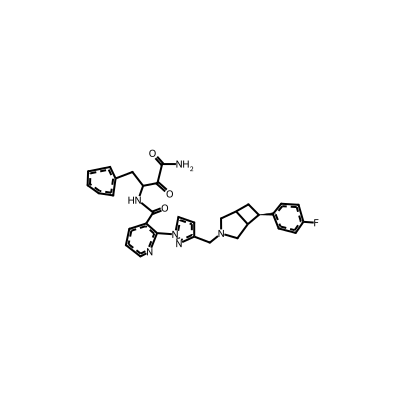 NC(=O)C(=O)C(Cc1ccccc1)NC(=O)c1cccnc1-n1ccc(CN2CC3C[C@@H](c4ccc(F)cc4)C3C2)n1